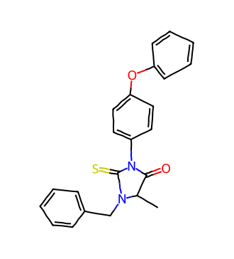 CC1C(=O)N(c2ccc(Oc3ccccc3)cc2)C(=S)N1Cc1ccccc1